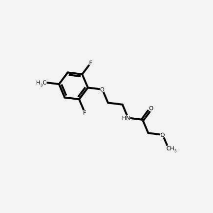 COCC(=O)NCCOc1c(F)cc(C)cc1F